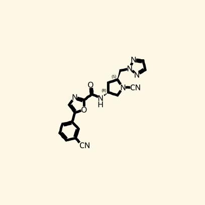 N#Cc1cccc(-c2cnc(C(=O)N[C@@H]3C[C@@H](Cn4nccn4)N(C#N)C3)o2)c1